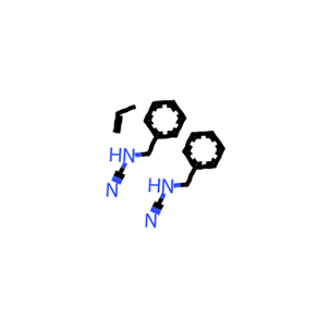 C=CC.N#CNCc1ccccc1.N#CNCc1ccccc1